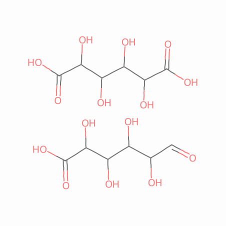 O=C(O)C(O)C(O)C(O)C(O)C(=O)O.O=CC(O)C(O)C(O)C(O)C(=O)O